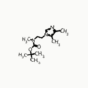 Cc1ncn(CCN(C)C(=O)OC(C)(C)C)c1C